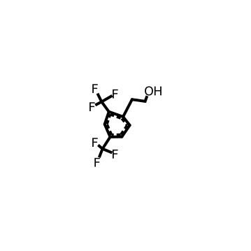 OCCc1ccc(C(F)(F)F)cc1C(F)(F)F